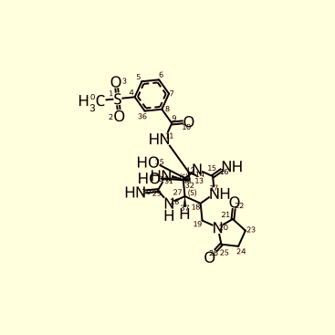 CS(=O)(=O)c1cccc(C(=O)NC2CN3C(=N)NC(CN4C(=O)CCC4=O)[C@@H]4NC(=N)N[C@@]43C2(O)O)c1